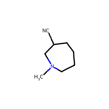 CN1CCCCC(C#N)C1